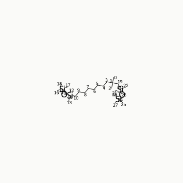 CC(C)(CCCCCCCC[Si](C)(C)O[Si](C)(C)C)C[Si](C)(C)O[Si](C)(C)C